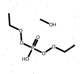 CCOOP(=O)(O)OOCC.CO